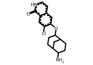 NC1CCC2CC1CCC2Oc1cc2cc[nH]c(=O)c2cc1Cl